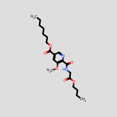 CCCCCCCOC(=O)c1cnc(C(=O)NCC(=O)OCCCC)c(OC)c1